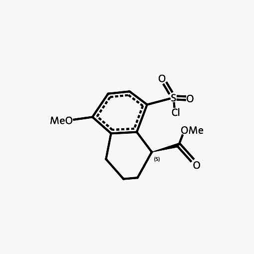 COC(=O)[C@H]1CCCc2c(OC)ccc(S(=O)(=O)Cl)c21